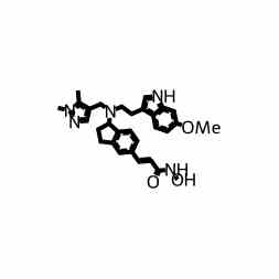 COc1ccc2c(CCN(Cc3cnn(C)c3C)C3CCc4cc(C=CC(=O)NO)ccc43)c[nH]c2c1